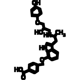 CC(Cc1c[nH]c2c(OCc3ccc(C(=O)O)cc3)cccc12)NCC(O)COc1ccc(O)cc1